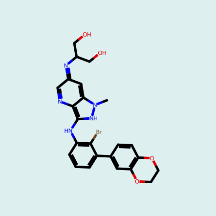 Cn1[nH]c(Nc2cccc(-c3ccc4c(c3)OCCO4)c2Br)c2ncc(=NC(CO)CO)cc1-2